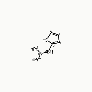 CCCN(Bc1cccs1)CCC